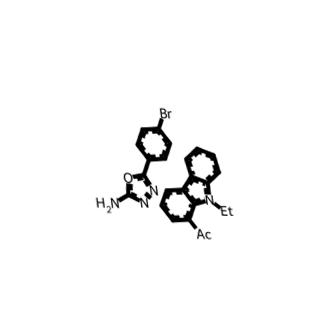 CCn1c2ccccc2c2cccc(C(C)=O)c21.Nc1nnc(-c2ccc(Br)cc2)o1